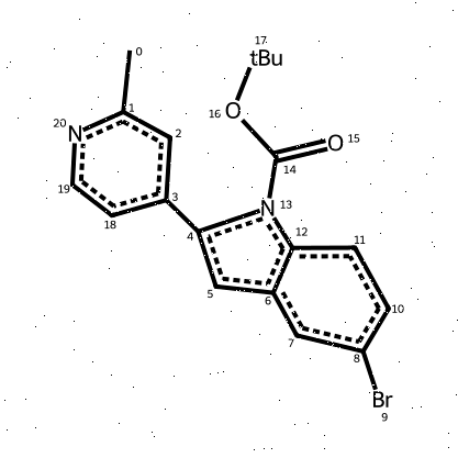 Cc1cc(-c2cc3cc(Br)ccc3n2C(=O)OC(C)(C)C)ccn1